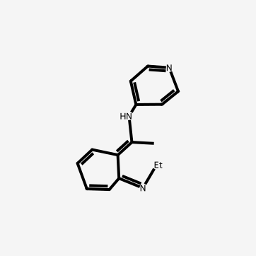 CC/N=C1/C=CC=C/C1=C(/C)Nc1ccncc1